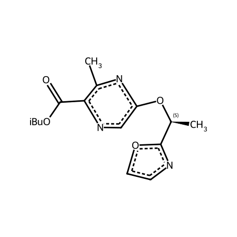 Cc1nc(O[C@@H](C)c2ncco2)cnc1C(=O)OCC(C)C